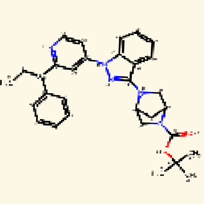 CC[As](c1ccccc1)c1cc(-n2nc(N3CC4CC3CN4C(=O)OC(C)(C)C)c3ccccc32)ccn1